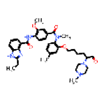 CCc1nc2c(C(=O)Nc3ccc(C(=O)N(C)c4ccc(C)cc4OCCCCC(C=O)N4CCN(C)CC4)cc3OC)cccc2[nH]1